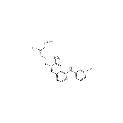 CCOC(=O)CN(C)CCOc1cc2ncnc(Nc3cccc(Br)c3)c2cc1[N+](=O)[O-]